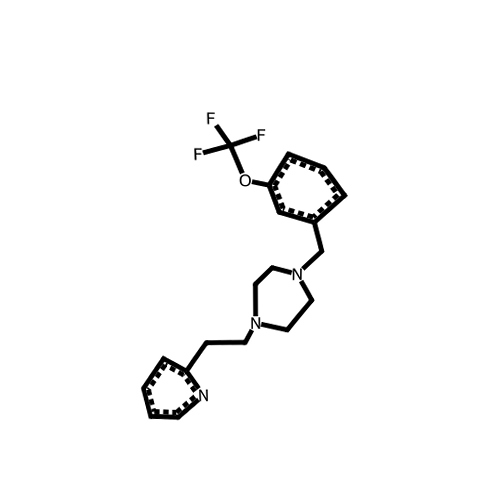 FC(F)(F)Oc1cccc(CN2CCN(CCc3ccccn3)CC2)c1